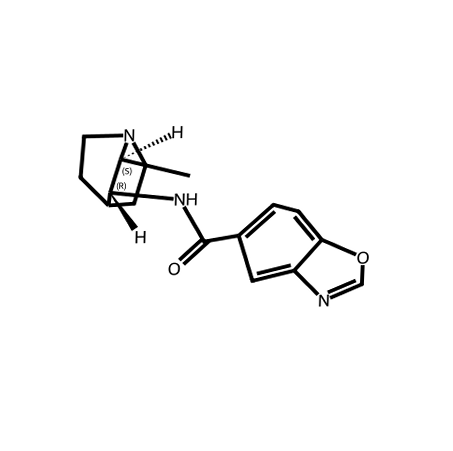 C[C@H]1[C@H](NC(=O)c2ccc3ocnc3c2)C2CCN1CC2